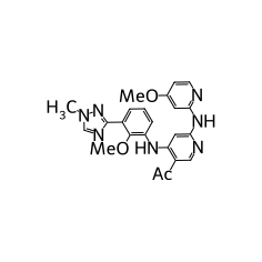 COc1ccnc(Nc2cc(Nc3cccc(-c4ncn(C)n4)c3OC)c(C(C)=O)cn2)c1